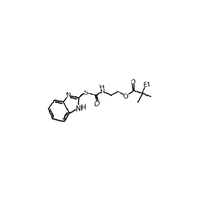 CCC(C)(C)C(=O)OCCNC(=O)Sc1nc2ccccc2[nH]1